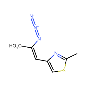 Cc1nc(C=C(N=[N+]=[N-])C(=O)O)cs1